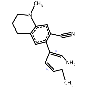 CC/C=C\C(=C/N)c1cc2c(cc1C#N)N(C)CCC2